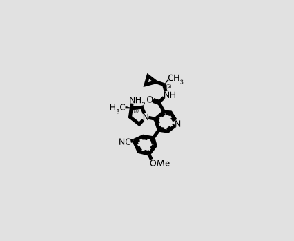 COc1cc(C#N)cc(-c2cncc(C(=O)N[C@@H](C)C3CC3)c2N2CC[C@](C)(N)C2)c1